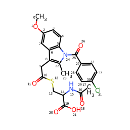 COc1ccc2c(c1)c(CC(=O)SCC(NC(C)=O)C(=O)O)c(C)n2C(=O)c1ccc(Cl)cc1